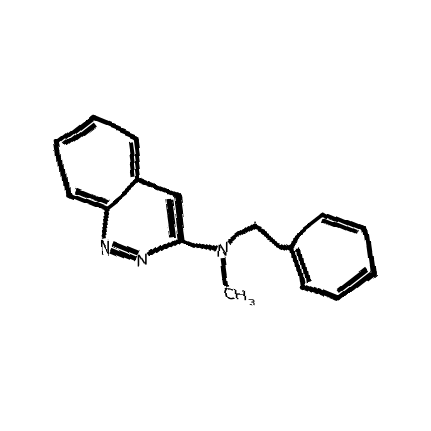 CN([CH]c1ccccc1)c1cc2ccccc2nn1